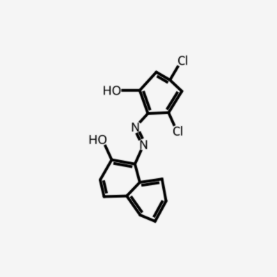 Oc1cc(Cl)cc(Cl)c1/N=N/c1c(O)ccc2ccccc12